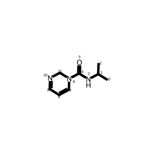 CC(C)NC(=O)N1C=CC=NC1